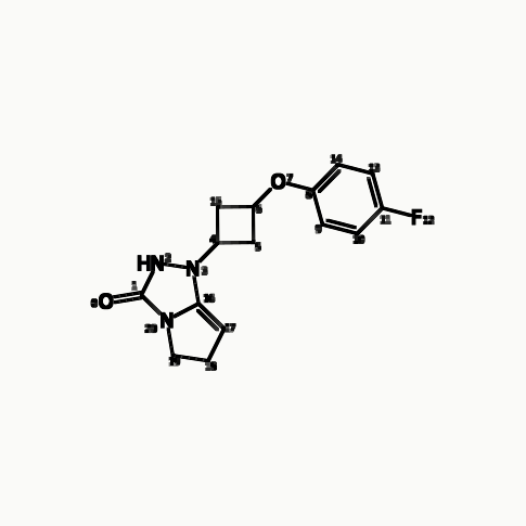 O=C1NN(C2CC(Oc3ccc(F)cc3)C2)C2=CCCN12